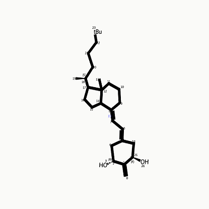 C=C1[C@H](O)CC(=C/C=C2\CCCC3(C)C2CCC3[C@@H](C)CCCC(C)(C)C)C[C@H]1O